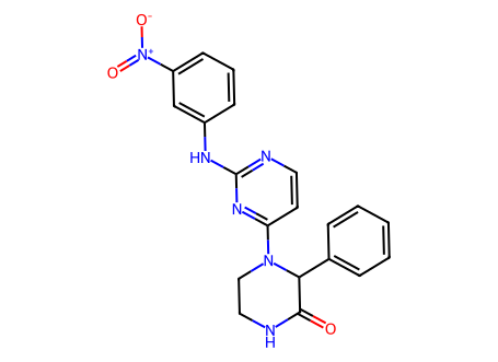 O=C1NCCN(c2ccnc(Nc3cccc([N+](=O)[O-])c3)n2)C1c1ccccc1